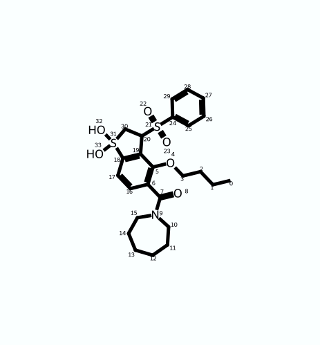 CCCCOc1c(C(=O)N2CCCCCC2)ccc2c1C(S(=O)(=O)c1ccccc1)CS2(O)O